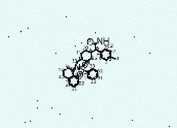 Cc1ccc(C(C(N)=O)C2CCC(CN([C@@H]3CCCc4ccccc43)S(=O)(=O)c3ccccc3)CC2)cc1